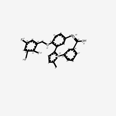 Cc1ccc(-c2cc(Br)ccc2OCc2cc(F)cc(F)c2F)n1-c1cccc(C(=O)O)c1